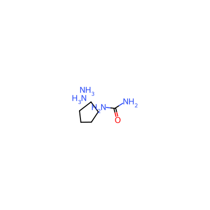 C1CCCC1.N.N.NC(N)=O